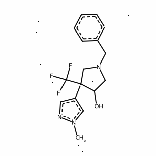 Cn1cc(C2(C(F)(F)F)CN(Cc3ccccc3)CC2O)cn1